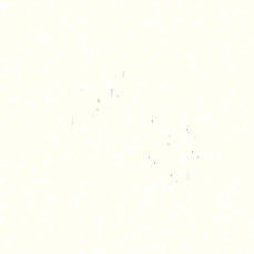 CN(C(=O)OC(C)(C)C)C1CCN(c2nc(Cl)nc3[nH]cnc23)CC1